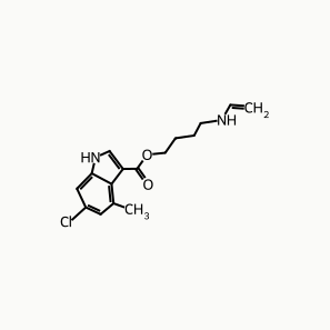 C=CNCCCCOC(=O)c1c[nH]c2cc(Cl)cc(C)c12